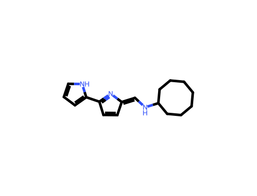 C1=C/C(=C\NC2CCCCCCC2)N=C1c1ccc[nH]1